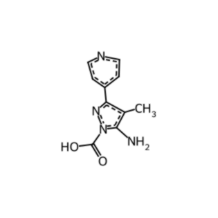 Cc1c(-c2ccncc2)nn(C(=O)O)c1N